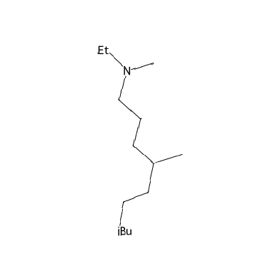 CCC(C)CCC(C)CCCN(C)CC